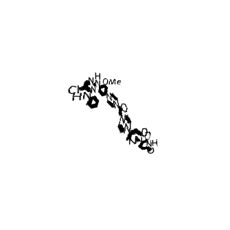 COc1cc(N2CCN(C(=O)CN3CCN(c4cnn(C5CCC(=O)NC5=O)c(=O)c4)CC3)CC2)ccc1Nc1ncc(Cl)c(Nc2ccccc2)n1